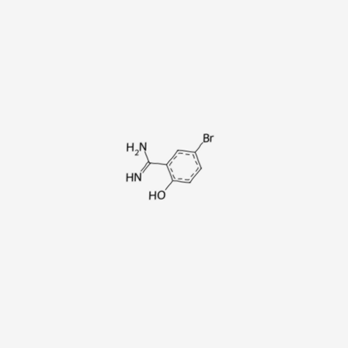 N=C(N)c1cc(Br)ccc1O